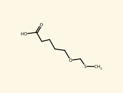 CSCOCCCCC(=O)O